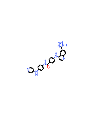 O=C(Nc1ccc(Nc2ccncc2)cc1)c1ccc(Nc2ccnc3ccc(-c4nnn[nH]4)cc23)cc1